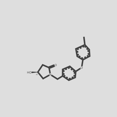 Cc1ccc(Oc2ccc(CN3C[C@@H](O)CC3=O)cc2)cc1